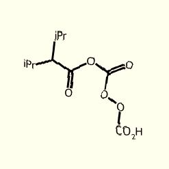 CC(C)C(C(=O)OC(=O)OOC(=O)O)C(C)C